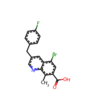 Cc1c(C(=O)O)cc(Br)c2cc(Cc3ccc(F)cc3)cnc12